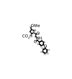 COCC1CC(C(=O)O)N(C(=O)CNC(=O)c2ccc(Oc3ccccc3)cc2)C1